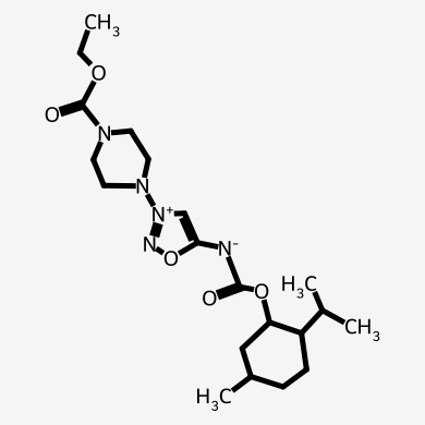 CCOC(=O)N1CCN([n+]2cc([N-]C(=O)OC3CC(C)CCC3C(C)C)on2)CC1